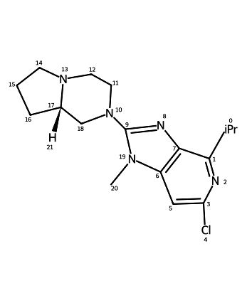 CC(C)c1nc(Cl)cc2c1nc(N1CCN3CCC[C@H]3C1)n2C